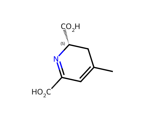 CC1=CC(C(=O)O)=N[C@H](C(=O)O)C1